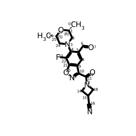 C[C@@H]1CN(c2c(C=O)cc3c(C(=O)N4CC(C#N)C4)noc3c2F)C[C@H](C)O1